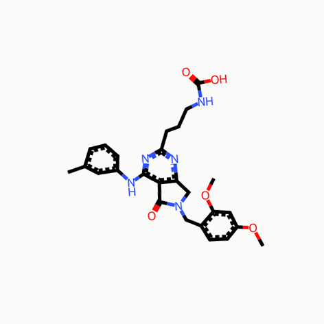 COc1ccc(CN2Cc3nc(CCCNC(=O)O)nc(Nc4cccc(C)c4)c3C2=O)c(OC)c1